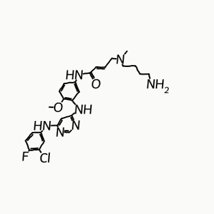 COc1ccc(NC(=O)/C=C/CN(C)CCCCN)cc1Nc1cc(Nc2ccc(F)c(Cl)c2)ncn1